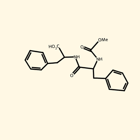 COC(=O)NC(Cc1ccccc1)C(=O)NC(Cc1ccccc1)C(=O)O